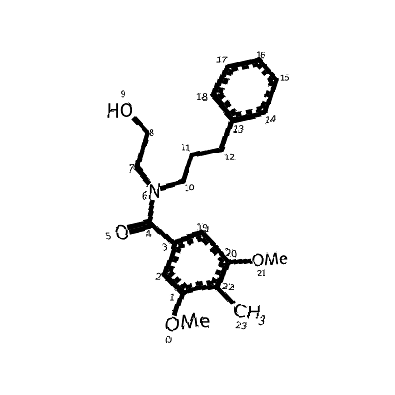 COc1cc(C(=O)N(CCO)CCCc2ccccc2)cc(OC)c1C